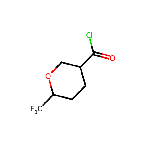 O=C(Cl)C1CCC(C(F)(F)F)OC1